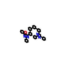 c1ccc(-c2cc(-c3cccc(-c4cccc(-c5cccc(-c6cccc(-c7nc(-c8ccccc8)nc8c7oc7ccccc78)c6)c5)c4)c3)nc(-c3ccccc3)n2)cc1